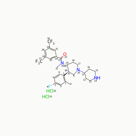 Cc1cc(F)ccc1[C@@H]1CN(C2CCNCC2)CC[C@H]1N(C)C(=O)c1cc(C(F)(F)F)cc(C(F)(F)F)c1.Cl.Cl